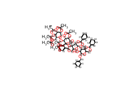 CC(=O)OCC1O[C@@H](O[C@@H]2C(OC(C)=O)[C@H](O[C@@H]3C(OC(=O)c4ccccc4)[C@H](O[C@@H]4C(O)[C@@H](OCc5ccccc5)OC5COC(c6ccccc6)O[C@H]54)OC4COC(c5ccccc5)O[C@H]43)OC(COC(C)=O)[C@H]2OC(C)=O)C(OC(C)=O)[C@@H](OC(C)=O)[C@@H]1OC(C)=O